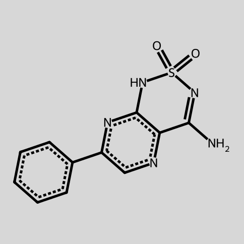 NC1=NS(=O)(=O)Nc2nc(-c3ccccc3)cnc21